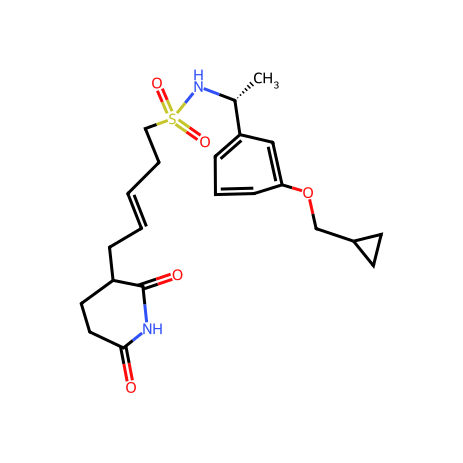 C[C@@H](NS(=O)(=O)CC/C=C/CC1CCC(=O)NC1=O)c1cccc(OCC2CC2)c1